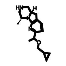 CC(OCC1CC1)c1ccc2c(n1)N1[C@@H](CNC[C@H]1C)C2